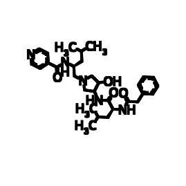 CC(C)C[C@@H](CN1CC(O)C(NC(=O)[C@H](CC(C)C)NC(=O)Cc2ccccc2)C1)NC(=O)c1ccncc1